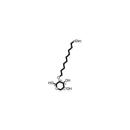 CCCCCCCCCCCCCCCCCCCCO[C@@H]1[C@@H](O)[C@H](O)CO[C@H]1O